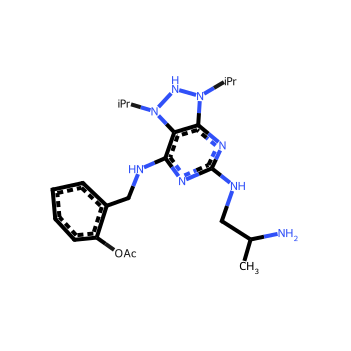 CC(=O)Oc1ccccc1CNc1nc(NCC(C)N)nc2c1N(C(C)C)NN2C(C)C